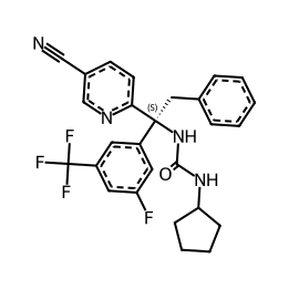 N#Cc1ccc([C@@](Cc2ccccc2)(NC(=O)NC2CCCC2)c2cc(F)cc(C(F)(F)F)c2)nc1